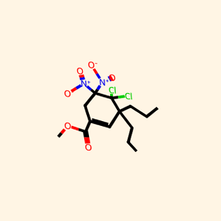 CCCC1(CCC)C=C(C(=O)OC)CC([N+](=O)[O-])([N+](=O)[O-])C1(Cl)Cl